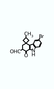 CC1CC2(C1)CC(C=O)C(=O)c1[nH]c3ccc(Br)cc3c12